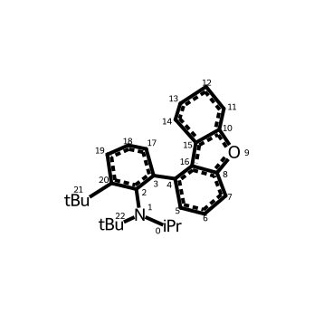 CC(C)N(c1c(-c2cccc3oc4ccccc4c23)cccc1C(C)(C)C)C(C)(C)C